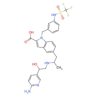 CC(Cc1ccc2c(c1)cc(C(=O)O)n2Cc1cccc(NS(=O)(=O)C(F)(F)F)c1)NCC(O)c1ccc(N)nc1